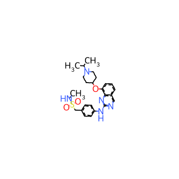 CNS(=O)(=O)Cc1ccc(Nc2ncc3cccc(OC4CCN(C(C)C)CC4)c3n2)cc1